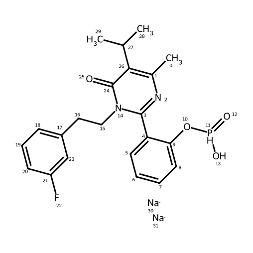 Cc1nc(-c2ccccc2O[PH](=O)O)n(CCc2cccc(F)c2)c(=O)c1C(C)C.[Na].[Na]